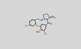 C[C@@H]1CC[C@H](CCc2ccc(F)cc2)N1C(=O)c1cc(F)c(O)c(Cl)c1